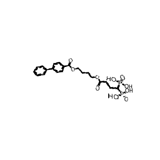 O=C(CCC(P(=O)(O)O)P(=O)(O)O)OCCCCOC(=O)c1ccc(-c2ccccc2)cc1